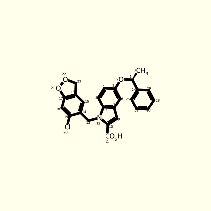 C[C@H](Oc1ccc2c(c1)cc(C(=O)O)n2Cc1cc2c(cc1Cl)OOC2)c1ccccc1